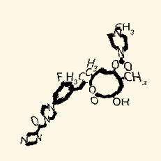 C/C(=C\c1cc(F)cc(N2CCN(CC(=O)c3cnccn3)CC2)c1)[C@H]1OC(=O)C[C@H](O)CC[C@H](C)[C@H](OC(=O)N2CCN(C)CC2)/C=C/[C@@H]1C